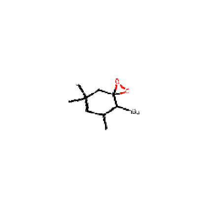 CCCCC1C(C)CC(C)(C)CC12OO2